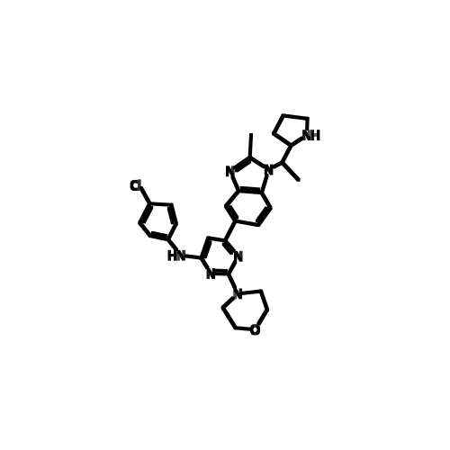 Cc1nc2cc(-c3cc(Nc4ccc(Cl)cc4)nc(N4CCOCC4)n3)ccc2n1C(C)C1CCCN1